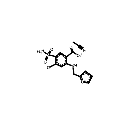 CC#N.NS(=O)(=O)c1cc(C(=O)O)c(NCc2ccco2)cc1Cl